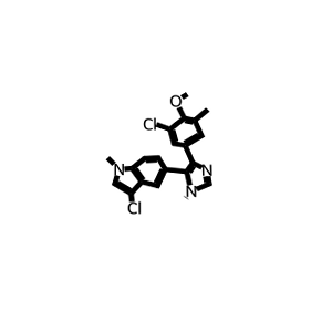 COc1c(C)cc(-c2ncn(C)c2-c2ccc3c(c2)c(Cl)cn3C)cc1Cl